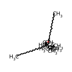 CCCCCCCCCCCCCCCCCCSCCC(CCSCCCCCCCCCCCCCCCCCC)(c1cc(C(C)(C)C)c(O)c(C)c1C)P(=O)(O)O